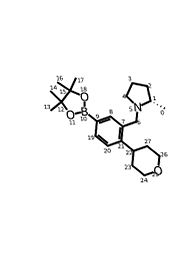 C[C@H]1CCCN1Cc1cc(B2OC(C)(C)C(C)(C)O2)ccc1C1CCOCC1